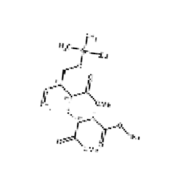 C=C[C@@H](CO[Si](C)(C)C(C)(C)C)[C@@H](C[C@H](NC(=O)OC(C)(C)C)C(=O)OC)C(=O)OC